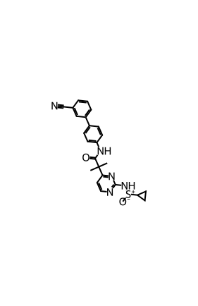 CC(C)(C(=O)Nc1ccc(-c2cccc(C#N)c2)cc1)c1ccnc(N[S+]([O-])C2CC2)n1